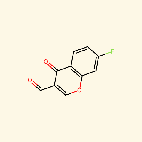 O=Cc1coc2cc(F)ccc2c1=O